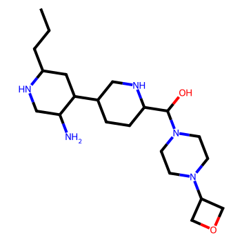 CCCC1CC(C2CCC(C(O)N3CCN(C4COC4)CC3)NC2)C(N)CN1